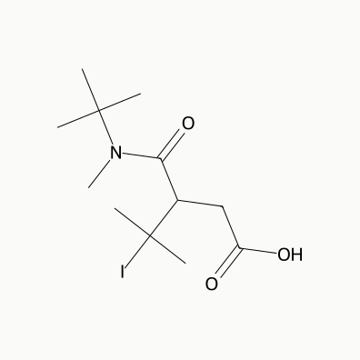 CN(C(=O)C(CC(=O)O)C(C)(C)I)C(C)(C)C